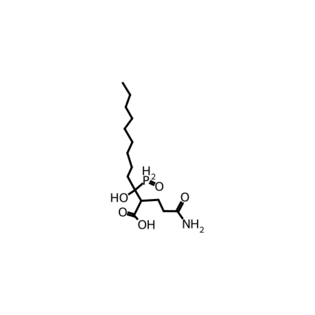 CCCCCCCCCC(O)([PH2]=O)C(CCC(N)=O)C(=O)O